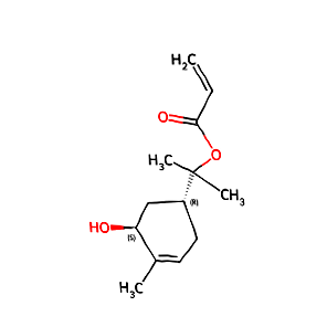 C=CC(=O)OC(C)(C)[C@@H]1CC=C(C)[C@@H](O)C1